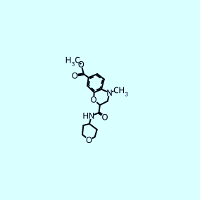 COC(=O)c1ccc2c(c1)OC(C(=O)NC1CCOCC1)CN2C